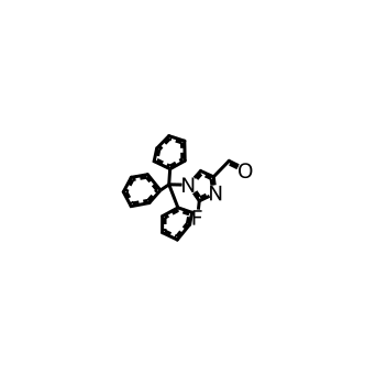 O=Cc1cn(C(c2ccccc2)(c2ccccc2)c2ccccc2)c(F)n1